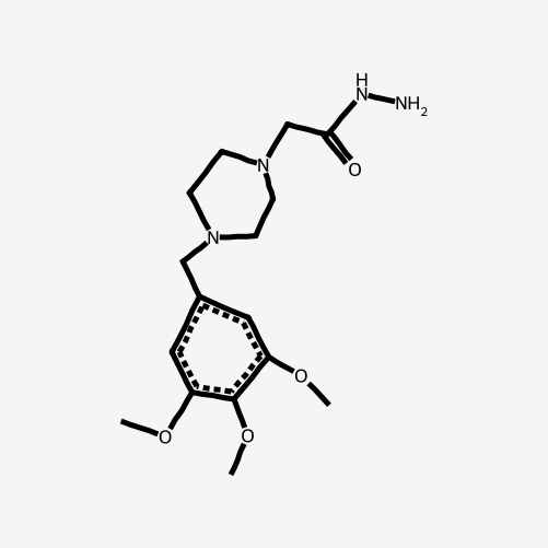 COc1cc(CN2CCN(CC(=O)NN)CC2)cc(OC)c1OC